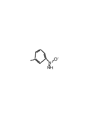 Cc1cccc([N+](=N)[O-])c1